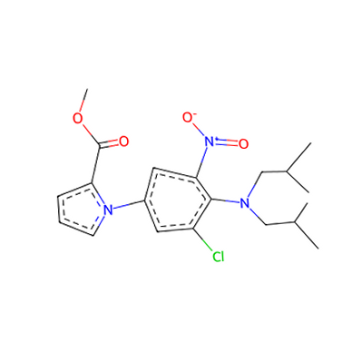 COC(=O)c1cccn1-c1cc(Cl)c(N(CC(C)C)CC(C)C)c([N+](=O)[O-])c1